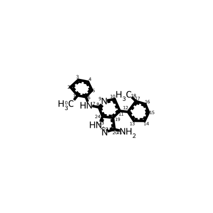 Cc1ccccc1Nc1ncc(-c2ccccc2C)c2c(N)n[nH]c12